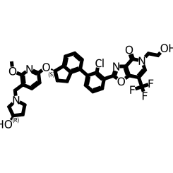 COc1nc(O[C@H]2CCc3c(-c4cccc(-c5nc6c(=O)n(CCO)cc(C(F)(F)F)c6o5)c4Cl)cccc32)ccc1CN1CC[C@@H](O)C1